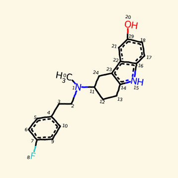 CN(CCc1ccc(F)cc1)C1CCc2[nH]c3ccc(O)cc3c2C1